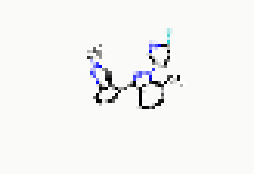 Cc1cccc2c(-c3cccc4nn(C)cc34)nn(-c3ccc(F)nc3)c12